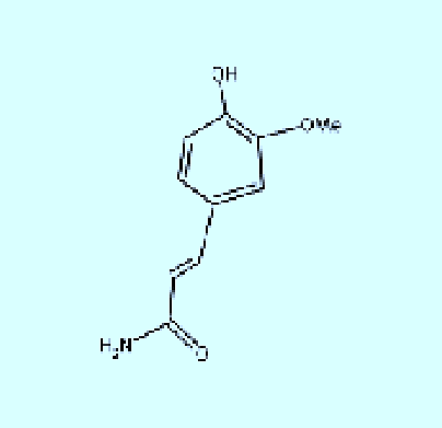 COc1cc(/C=C/C(N)=O)ccc1O